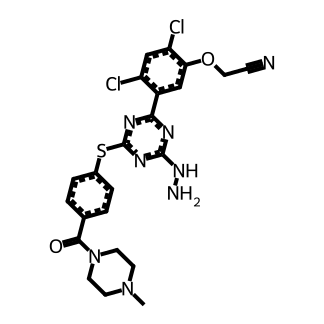 CN1CCN(C(=O)c2ccc(Sc3nc(NN)nc(-c4cc(OCC#N)c(Cl)cc4Cl)n3)cc2)CC1